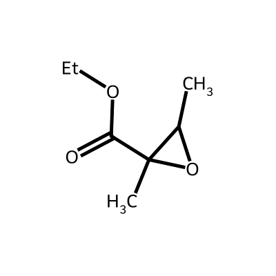 CCOC(=O)C1(C)OC1C